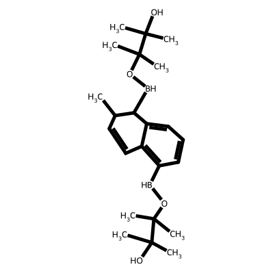 CC1C=Cc2c(BOC(C)(C)C(C)(C)O)cccc2C1BOC(C)(C)C(C)(C)O